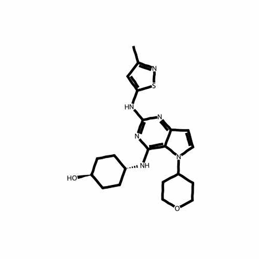 Cc1cc(Nc2nc(N[C@H]3CC[C@H](O)CC3)c3c(ccn3C3CCOCC3)n2)sn1